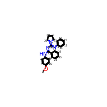 COc1ccc(N/C(=N/C(=N/c2ccccc2)N2CCCC2)c2ccccc2)cc1